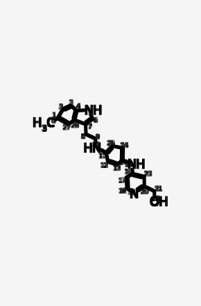 Cc1ccc2[nH]cc(CCNc3ccc(Nc4ccnc(CO)c4)cc3)c2c1